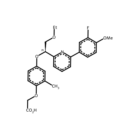 CCOC[C@H](Oc1ccc(OCC(=O)O)c(C)c1)c1cccc(-c2ccc(OC)c(F)c2)n1